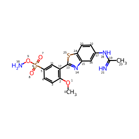 COc1ccc(S(=O)(=O)ON)cc1-c1nc2cc(NC(C)=N)ccc2s1